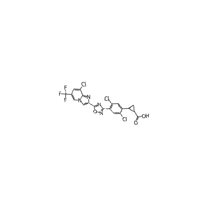 O=C(O)C1CC1c1cc(Cl)c(-c2noc(-c3cn4cc(C(F)(F)F)cc(Cl)c4n3)n2)cc1Cl